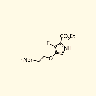 CCCCCCCCCCCOc1c[nH]c(C(=O)OCC)c1F